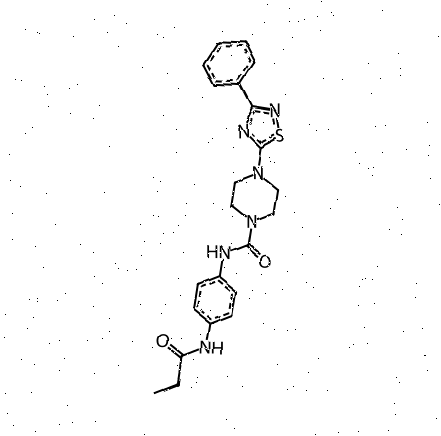 CCC(=O)Nc1ccc(NC(=O)N2CCN(c3nc(-c4ccccc4)ns3)CC2)cc1